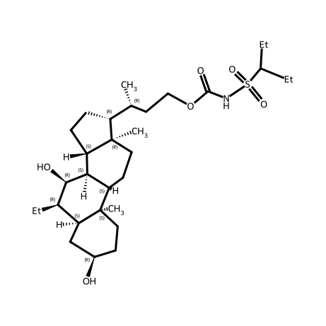 CCC(CC)S(=O)(=O)NC(=O)OCC[C@@H](C)[C@H]1CC[C@H]2[C@@H]3[C@H](O)[C@H](CC)[C@@H]4C[C@H](O)CC[C@]4(C)[C@H]3CC[C@]12C